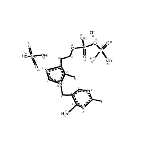 Cc1ncc(C[n+]2csc(CCOP(=O)(O)OP(=O)(O)O)c2C)c(N)n1.O=S(=O)(O)O.[Cl-]